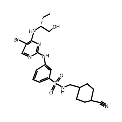 CC[C@H](CO)Nc1nc(Nc2cccc(S(=O)(=O)NCC3CCC(C#N)CC3)c2)ncc1Br